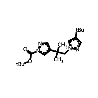 CC(C)(C)OC(=O)n1cc(C(C)(C)Cn2cc(C(C)(C)C)cn2)cn1